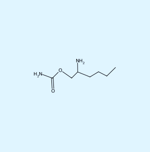 CCCCC(N)COC(N)=O